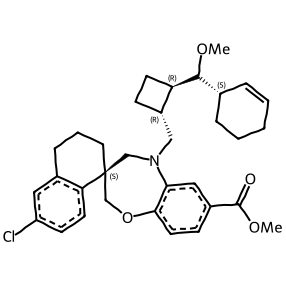 COC(=O)c1ccc2c(c1)N(C[C@@H]1CC[C@H]1C(OC)[C@@H]1C=CCCC1)C[C@@]1(CCCc3cc(Cl)ccc31)CO2